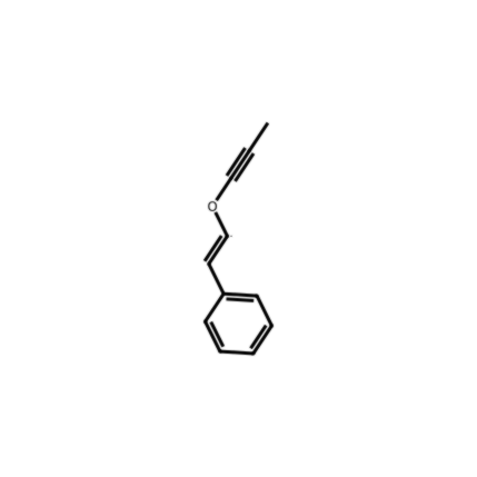 CC#CO/[C]=C/c1ccccc1